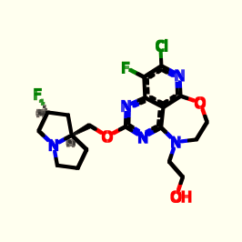 OCCN1CCOc2nc(Cl)c(F)c3nc(OC[C@@]45CCCN4C[C@H](F)C5)nc1c23